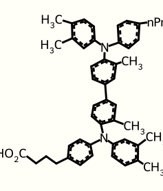 CCCc1ccc(N(c2ccc(C)c(C)c2)c2ccc(-c3ccc(N(c4ccc(CCCC(=O)O)cc4)c4ccc(C)c(C)c4)c(C)c3)cc2C)cc1